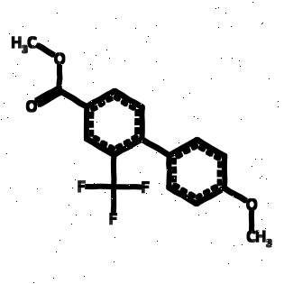 COC(=O)c1ccc(-c2ccc(OC)cc2)c(C(F)(F)F)c1